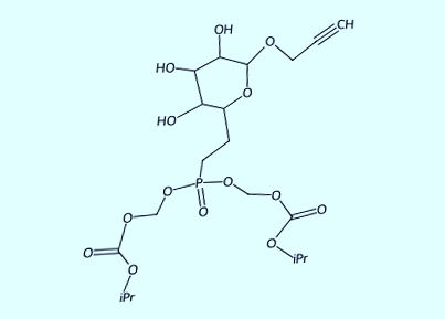 C#CCOC1OC(CCP(=O)(OCOC(=O)OC(C)C)OCOC(=O)OC(C)C)C(O)C(O)C1O